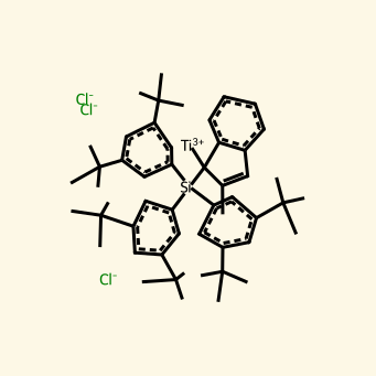 CC1=Cc2ccccc2[C]1([Ti+3])[Si](c1cc(C(C)(C)C)cc(C(C)(C)C)c1)(c1cc(C(C)(C)C)cc(C(C)(C)C)c1)c1cc(C(C)(C)C)cc(C(C)(C)C)c1.[Cl-].[Cl-].[Cl-]